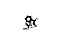 COC(=O)[N+]1(C(C)=O)C(=O)C(=O)c2ccccc21